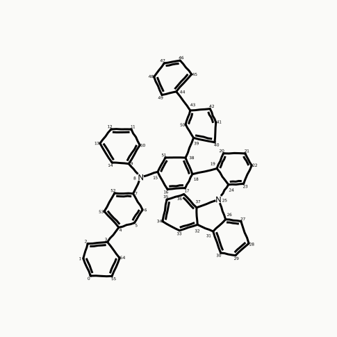 c1ccc(-c2ccc(N(c3ccccc3)c3ccc(-c4ccccc4-n4c5ccccc5c5ccccc54)c(-c4cccc(-c5ccccc5)c4)c3)cc2)cc1